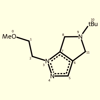 COCCn1ncc2c1CN(C(C)(C)C)C2